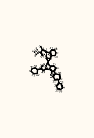 Cc1cc2[n+](cc1[Si](C)(C)C)C1/C(=C3/c4ccc5c(sc6cc(-c7ccccc7)ccc65)c4C4=[N+]3CC(C3CCCCC3)=C4)C1C1=C2C=CCC1